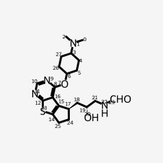 CN(C)C1CCC(Oc2ncnc3sc4c(c23)[C@@H](C[C@@H](O)CNC=O)CC4)CC1